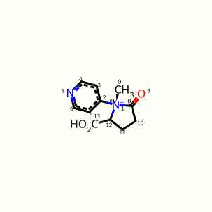 C[N@@+]1(c2ccncc2)C(=O)CCC1C(=O)O